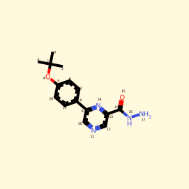 CC(C)(C)Oc1ccc(-c2cncc(C(=O)NN)n2)cc1